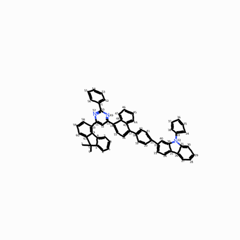 CC1(C)c2ccccc2-c2c(-c3cc(-c4ccc(-c5ccc(-c6ccc7c8ccccc8n(-c8ccccc8)c7c6)cc5)c5ccccc45)nc(-c4ccccc4)n3)cccc21